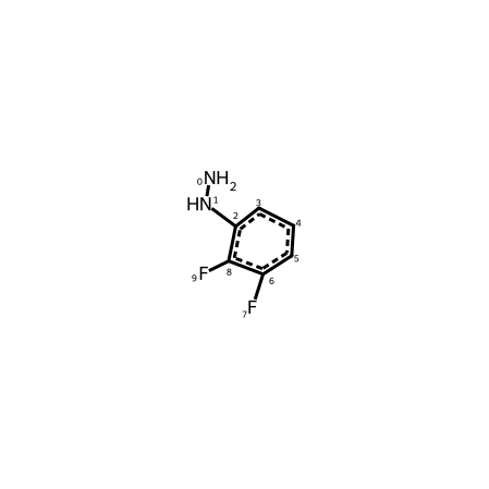 NNc1cccc(F)c1F